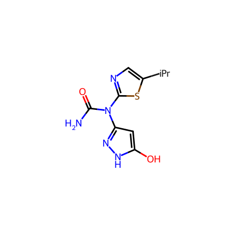 CC(C)c1cnc(N(C(N)=O)c2cc(O)[nH]n2)s1